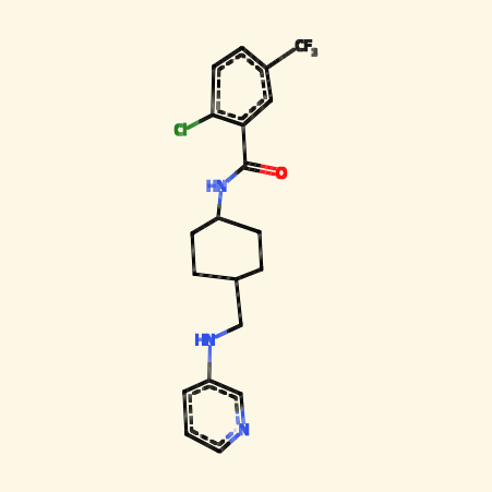 O=C(NC1CCC(CNc2cccnc2)CC1)c1cc(C(F)(F)F)ccc1Cl